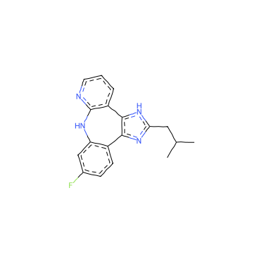 CC(C)Cc1nc2c([nH]1)-c1cccnc1Nc1cc(F)ccc1-2